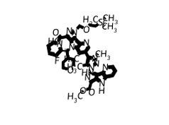 COC(=O)c1n[nH]c2c1[nH]c1cccnc12.Cc1nnn(C)c1-c1cnc2c3c(c(C(=O)O)nn3COCC[Si](C)(C)C)n([C@H](c3ncccc3F)C3CCOCC3)c2c1C